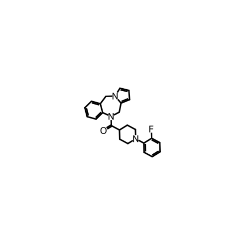 O=C(C1CCN(c2ccccc2F)CC1)N1Cc2cccn2Cc2ccccc21